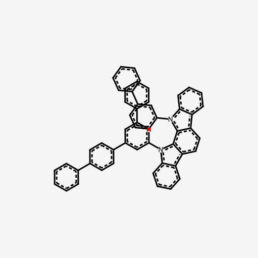 c1ccc(-c2ccc(-c3cc(-c4ccccc4)nc(-n4c5ccccc5c5ccc6c7ccccc7n(-c7cccc(-c8ccccc8)c7)c6c54)c3)cc2)cc1